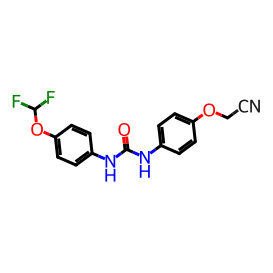 N#CCOc1ccc(NC(=O)Nc2ccc(OC(F)F)cc2)cc1